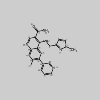 Cn1ccc(CNc2c(C(N)=O)cnc3cc(F)c(-c4cccnc4)cc23)n1